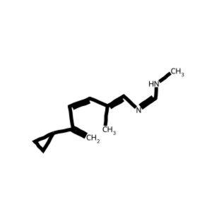 C=C(\C=C/C(C)=C/N=C\NC)C1CC1